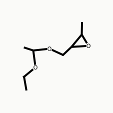 C[CH]OC(C)OCC1OC1C